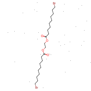 O=C(CCCCCCCCCBr)OCCOC(=O)CCCCCCCCCBr